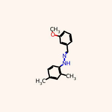 COc1cccc(/C=N/Nc2ccc(C)cc2C)c1